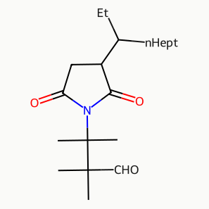 CCCCCCCC(CC)C1CC(=O)N(C(C)(C)C(C)(C)C=O)C1=O